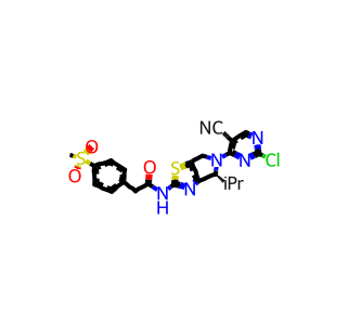 CC(C)[C@H]1c2nc(NC(=O)Cc3ccc(S(C)(=O)=O)cc3)sc2CN1c1nc(Cl)ncc1C#N